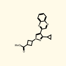 COC(=O)C1CC(n2cc(-c3cnc4ccccc4n3)c(C3CC3)n2)C1